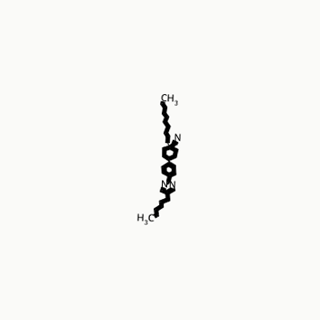 CCCCCCCCCC[C@]1(C#N)CC[C@H](c2ccc(-c3ncc(CCCCCC)cn3)cc2)CC1